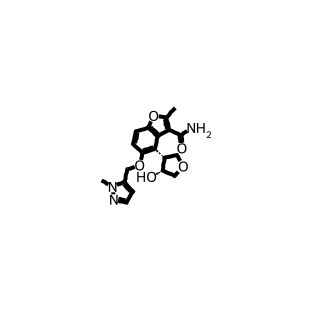 Cc1oc2ccc(OCc3ccnn3C)c([C@@H]3COC[C@@H]3O)c2c1C(N)=O